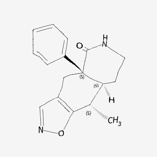 C[C@@H]1c2oncc2C[C@]2(c3ccccc3)C(=O)NCC[C@@H]12